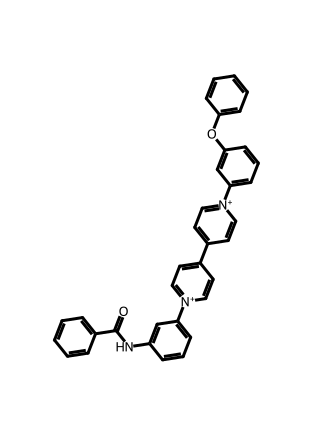 O=C(Nc1cccc(-[n+]2ccc(-c3cc[n+](-c4cccc(Oc5ccccc5)c4)cc3)cc2)c1)c1ccccc1